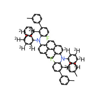 [2H]c1c([2H])c([2H])c(N(c2c(F)ccc(-c3cccc(C)c3)c2-c2cccc(C)c2)c2ccc3ccc4c(N(c5c([2H])c([2H])c([2H])c([2H])c5[2H])c5c(F)ccc(-c6cccc(C)c6)c5-c5cccc(C)c5)ccc5ccc2c3c54)c([2H])c1[2H]